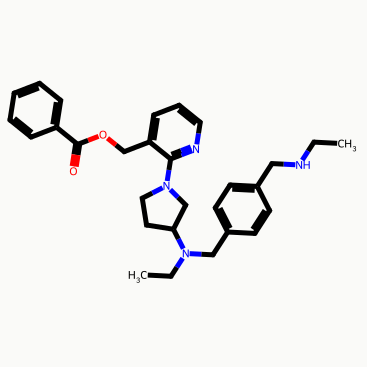 CCNCc1ccc(CN(CC)C2CCN(c3ncccc3COC(=O)c3ccccc3)C2)cc1